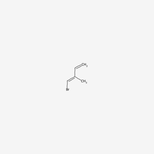 C=C/C(C)=C/Br